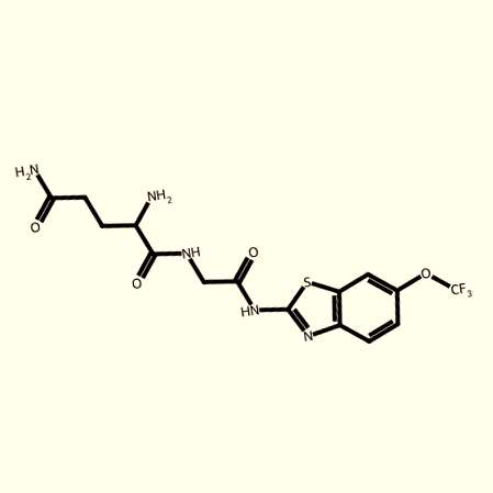 NC(=O)CCC(N)C(=O)NCC(=O)Nc1nc2ccc(OC(F)(F)F)cc2s1